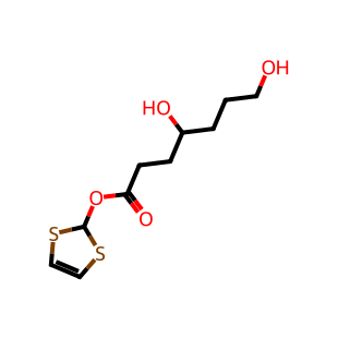 O=C(CCC(O)CCCO)OC1SC=CS1